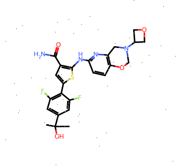 CC(C)(O)c1cc(F)c(-c2cc(C(N)=O)c(Nc3ccc4c(n3)CN(C3COC3)CO4)s2)c(F)c1